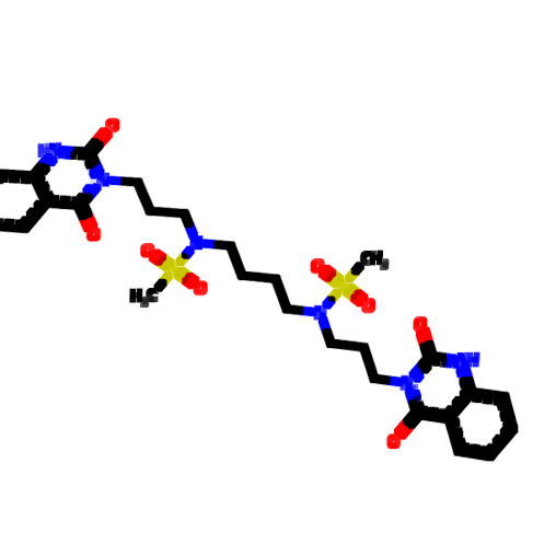 CS(=O)(=O)N(CCCCN(CCCn1c(=O)[nH]c2ccccc2c1=O)S(C)(=O)=O)CCCn1c(=O)[nH]c2ccccc2c1=O